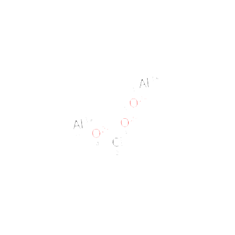 [Al+3].[Al+3].[C].[O-2].[O-2].[O-2]